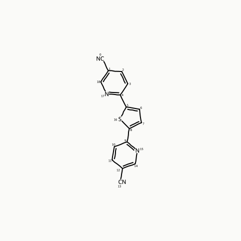 N#Cc1ccc(-c2ccc(-c3ccc(C#N)cn3)s2)nc1